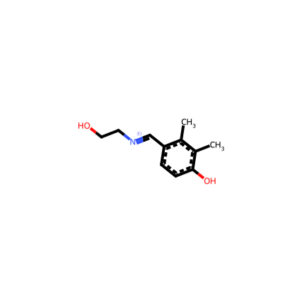 Cc1c(O)ccc(/C=N/CCO)c1C